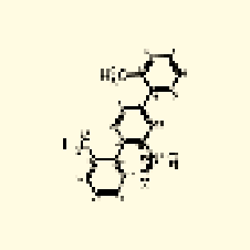 Cc1ccccc1-c1ccc(-c2ccccc2C)c([N+](=O)[O-])c1